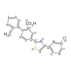 Cc1ccccc1-c1ccc(-c2nc(-c3cccc(Cl)c3)cs2)cc1C(=O)O